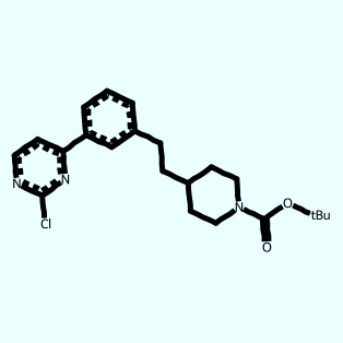 CC(C)(C)OC(=O)N1CCC(CCc2cccc(-c3ccnc(Cl)n3)c2)CC1